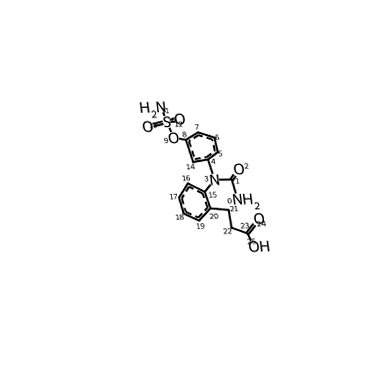 NC(=O)N(c1cccc(OS(N)(=O)=O)c1)c1ccccc1CCC(=O)O